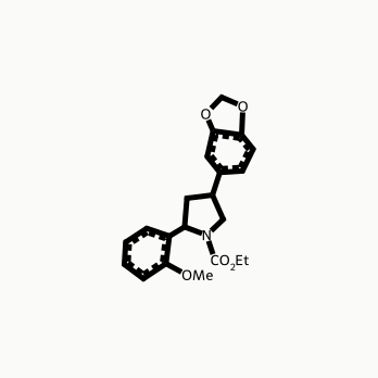 CCOC(=O)N1CC(c2ccc3c(c2)OCO3)CC1c1ccccc1OC